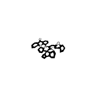 O=c1c2ccccc2oc2c(N3c4ccccc4C4(c5ccccc5-c5ccccc54)c4cc5c(cc43)oc3ccccc35)cccc12